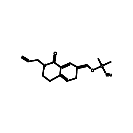 C=CCN1CCC2=CCC(=CO[Si](C)(C)C(C)(C)C)C=C2C1=O